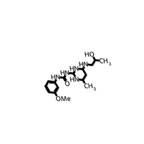 COc1cccc(NC(=O)NC2NC(C)CC(NCC(C)O)N2)c1